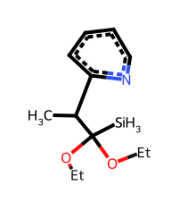 CCOC([SiH3])(OCC)C(C)c1ccccn1